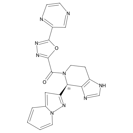 O=C(c1nnc(-c2cnccn2)o1)N1CCc2[nH]cnc2[C@H]1c1cc2ccccn2n1